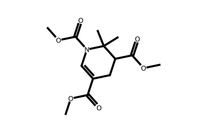 COC(=O)C1=CN(C(=O)OC)C(C)(C)C(C(=O)OC)C1